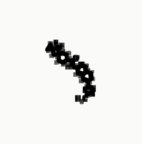 Cc1nnc(-c2ccc3cnc(NC(=O)C4CCN(CC5(C(F)(F)F)CC5)CC4)cc3c2)s1